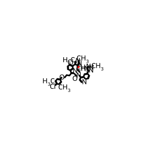 Cc1cc(OCCCc2c3n(c4c(-c5c(C)nn(C)c5C)c(Cl)ccc24)[C@H](C)CN(c2ccnc4ccc(-c5nnn(C)n5)cc24)C3=O)cc(C)c1Cl